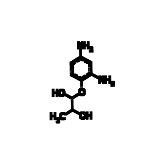 CC(O)C(O)Oc1ccc(N)cc1N